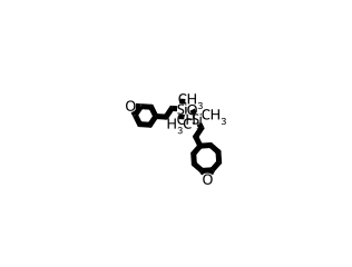 C[Si](C)(CCC1CCCC2OC2CC1)O[Si](C)(C)CCC1CCC2OC2C1